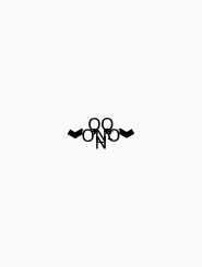 CCCOC(=O)[N+](=[N-])C(=O)OCCC